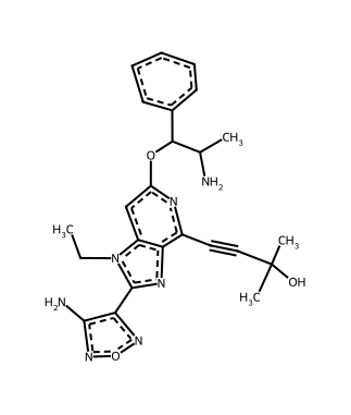 CCn1c(-c2nonc2N)nc2c(C#CC(C)(C)O)nc(OC(c3ccccc3)C(C)N)cc21